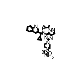 CCC(C)n1ncc2nc(N3CCN(S(N)(=O)=O)CC3)nc(N[C@@H](c3cnc4ccccc4c3)C3CC3)c21